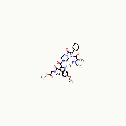 CN[C@@H](C)C(=O)N[C@H](C(=O)N1CCN(C(=O)c2c(C(=O)N(C)CC(=O)OC)c3ccc(OC)cc3n2C)CC1)C1CCCCC1